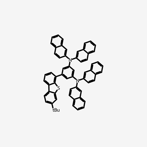 CC(C)(C)c1ccc2c(c1)sc1c(-c3cc(N(c4ccc5ccccc5c4)c4ccc5ccccc5c4)cc(N(c4ccc5ccccc5c4)c4ccc5ccccc5c4)c3)cccc12